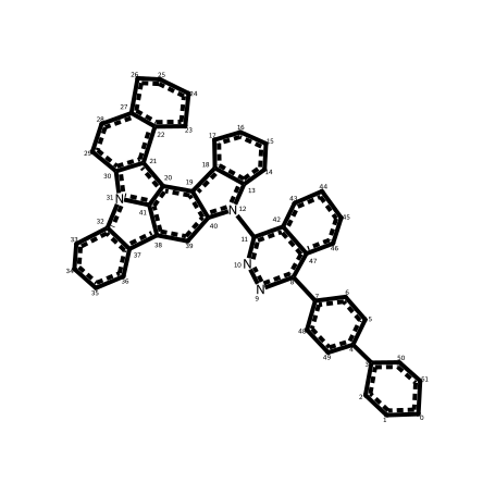 c1ccc(-c2ccc(-c3nnc(-n4c5ccccc5c5c6c7c8ccccc8ccc7n7c8ccccc8c(cc54)c67)c4ccccc34)cc2)cc1